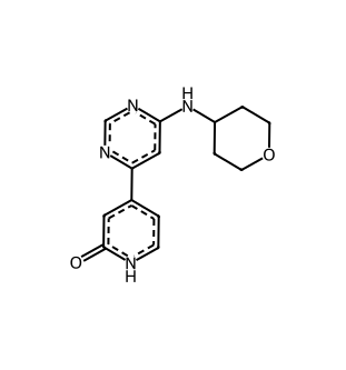 O=c1cc(-c2cc(NC3CCOCC3)ncn2)cc[nH]1